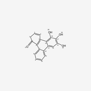 O=C1CC=Cc2c1c1ccccc1c1cc(O)c(O)c(O)c21